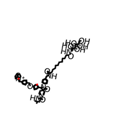 CC(C)(C)NC(=O)N1CCC2(CC1)C(=O)N(c1ccc(CNC(=O)CCCCCCCCCCC(=O)NC[C@@H](O)[C@H](O)[C@@H](O)[C@@H](O)CO)cc1)C2c1ccc(OCc2ccc(C[N+]34CCC(CC3)CC4)cc2)cc1